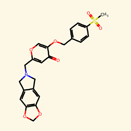 CS(=O)(=O)c1ccc(COc2coc(CN3Cc4cc5c(cc4C3)OCO5)cc2=O)cc1